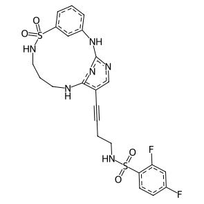 O=S1(=O)NCCCNc2nc(ncc2C#CCCNS(=O)(=O)c2ccc(F)cc2F)Nc2cccc1c2